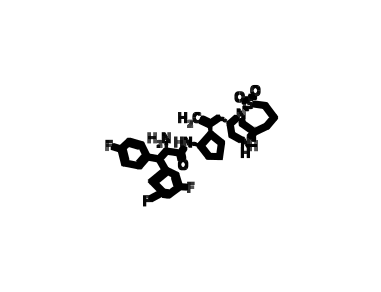 C=C(C[C@H]1CN[C@H]2CCCS(=O)(=O)N1C2)[C@H]1CCC[C@@H]1NC(=O)[C@@H](N)C(c1ccc(F)cc1)c1cc(F)cc(F)c1